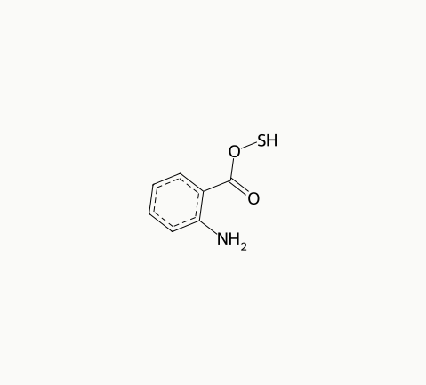 Nc1ccccc1C(=O)OS